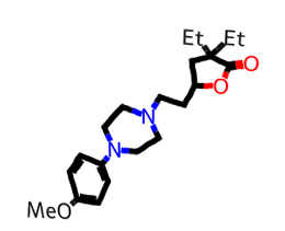 CCC1(CC)CC(CCN2CCN(c3ccc(OC)cc3)CC2)OC1=O